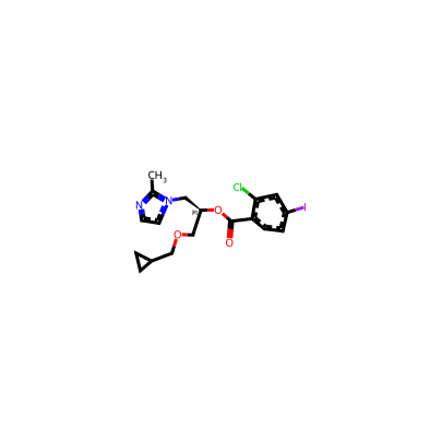 Cc1nccn1C[C@H](COCC1CC1)OC(=O)c1ccc(I)cc1Cl